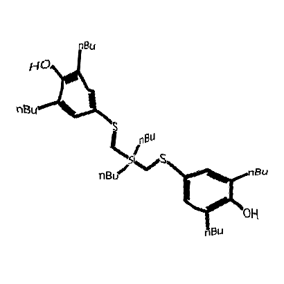 CCCCc1cc(SC[Si](CCCC)(CCCC)CSc2cc(CCCC)c(O)c(CCCC)c2)cc(CCCC)c1O